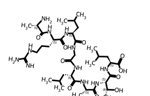 CC(C)C[C@H](NC(=O)[C@@H](NC(=O)[C@H](C)NC(=O)[C@H](CC(C)C)NC(=O)CNC(=O)[C@H](CC(C)C)NC(=O)[C@H](CCCNC(=N)N)NC(=O)[C@H](C)N)[C@@H](C)O)C(=O)O